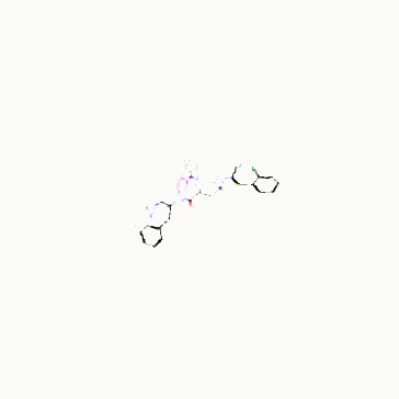 CCC(=O)NC(Cc1nc(C)c(-c2ccccc2Cl)s1)C(=O)NC(CN)Cc1ccccc1